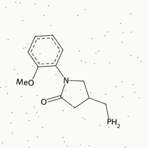 COc1ccccc1N1CC(CP)CC1=O